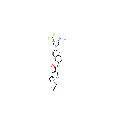 CCn1ccc2cc(C(=O)N[C@H]3CCc4nc(N5C[C@H](C(F)F)[C@@H](N)C5)ccc4C3)cnc21